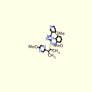 COc1cnc(C(C)C(C)SNc2nnc(-c3cccnc3)n2-c2c(OC)cccc2OC)cn1